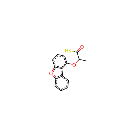 CC(Oc1cccc2oc3ccccc3c12)C(=O)S